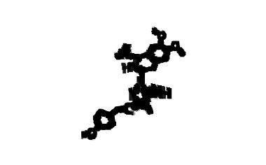 COc1ccc(CCc2nn(C(=N)Cc3cc(OC)c(OC)cc3SN(C)C)c(=N)s2)cc1